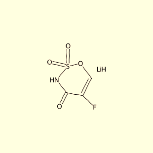 O=C1NS(=O)(=O)OC=C1F.[LiH]